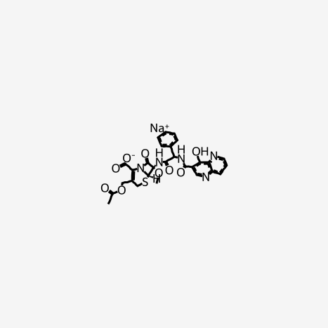 CO[C@@]1(NC(=O)C(NC(=O)c2cnc3cccnc3c2O)c2ccccc2)C(=O)N2C(C(=O)[O-])=C(COC(C)=O)CS[C@H]21.[Na+]